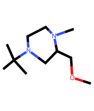 COCC1CN(C(C)(C)C)CCN1C